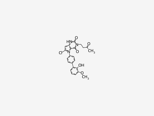 COc1cccc(-c2ccc(-n3c(Cl)cc4[nH]c(=O)n(CCC(C)=O)c(=O)c43)cc2)c1O